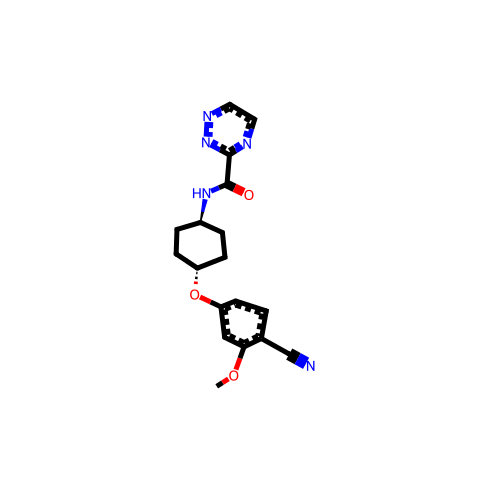 COc1cc(O[C@H]2CC[C@H](NC(=O)c3nccnn3)CC2)ccc1C#N